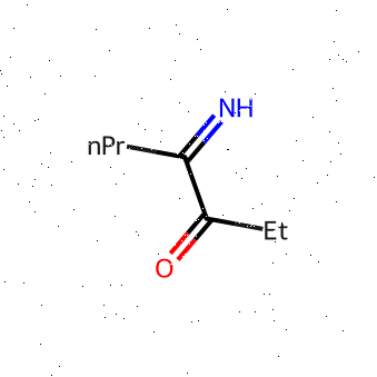 CCCC(=N)C(=O)CC